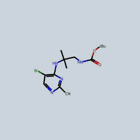 CC(C)(CNC(=O)OC(C)(C)C)Nc1nc(C#N)ncc1Br